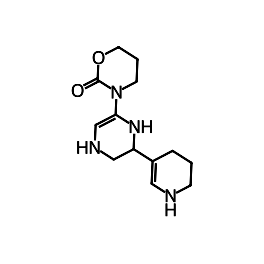 O=C1OCCCN1C1=CNCC(C2=CNCCC2)N1